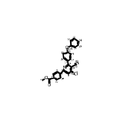 COC(=O)c1ccc(-c2cc(Cl)c(C#N)c(-c3ccc(Oc4ccccc4)cc3)n2)cc1